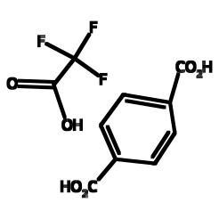 O=C(O)C(F)(F)F.O=C(O)c1ccc(C(=O)O)cc1